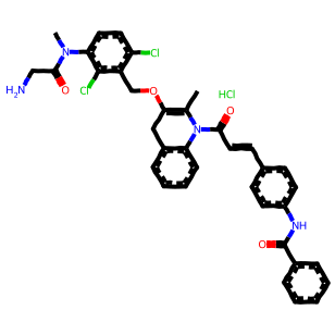 CC1=C(OCc2c(Cl)ccc(N(C)C(=O)CN)c2Cl)Cc2ccccc2N1C(=O)C=Cc1ccc(NC(=O)c2ccccc2)cc1.Cl